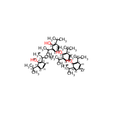 CC(C)c1cccc(C(C)C)c1O.CC(C)c1cccc(C(C)C)c1O.CC(C)c1cccc(C(C)C)c1O.CC(C)c1cccc(C(C)C)c1O.[Zr]